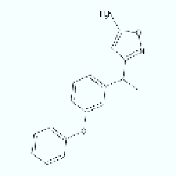 CC(c1cccc(Oc2ccccc2)c1)c1cc(N)on1